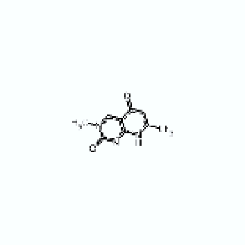 Cn1cc2c(=O)cc(C(F)(F)F)[nH]c2nc1=O